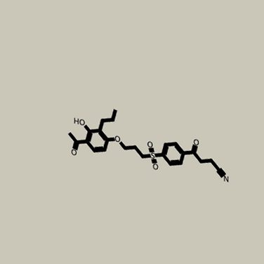 CCCc1c(OCCCS(=O)(=O)c2ccc(C(=O)CCC#N)cc2)ccc(C(C)=O)c1O